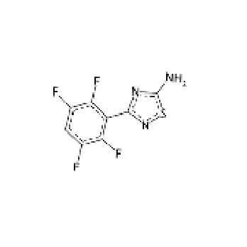 Nc1nc(-c2c(F)c(F)cc(F)c2F)ns1